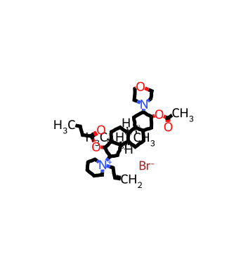 C=CC[N+]1(C2C[C@H]3[C@@H]4CCC5CC(OC(C)=O)C(N6CCOCC6)C[C@]5(C)[C@@H]4CC[C@]3(C)C2OC(=O)CCC)CCCCC1.[Br-]